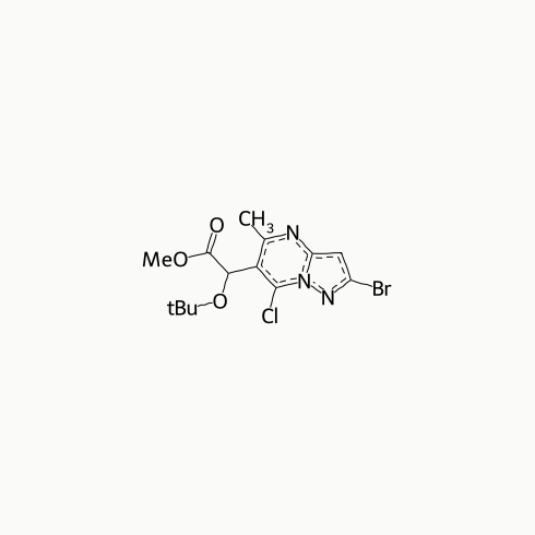 COC(=O)C(OC(C)(C)C)c1c(C)nc2cc(Br)nn2c1Cl